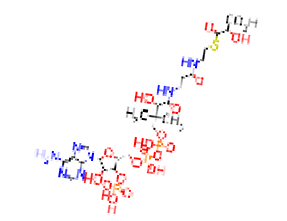 CC(C)(COP(=O)(O)OP(=O)(O)OC[C@H]1O[C@@H](n2cnc3c(N)ncnc32)[C@H](O)[C@@H]1OP(=O)(O)O)C(O)C(=O)NCCC(=O)NCCSC(=O)C(O)C(=O)O